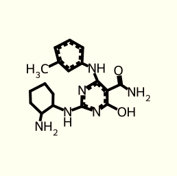 Cc1cccc(Nc2nc(NC3CCCCC3N)nc(O)c2C(N)=O)c1